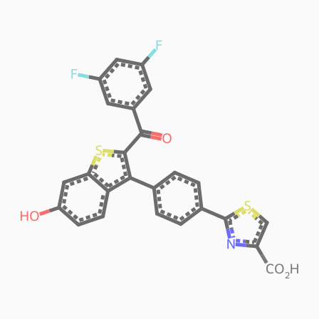 O=C(O)c1csc(-c2ccc(-c3c(C(=O)c4cc(F)cc(F)c4)sc4cc(O)ccc34)cc2)n1